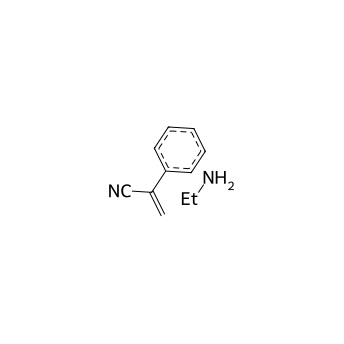 C=C(C#N)c1ccccc1.CCN